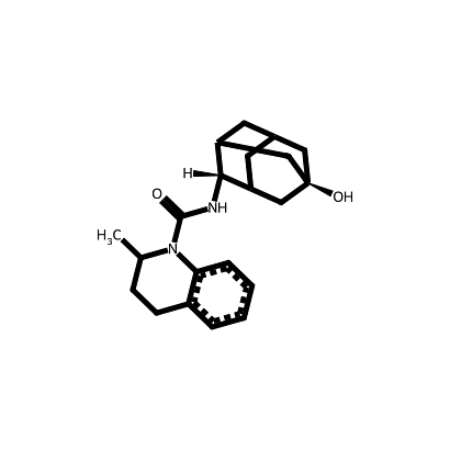 CC1CCc2ccccc2N1C(=O)N[C@H]1C2CC3CC1C[C@](O)(C3)C2